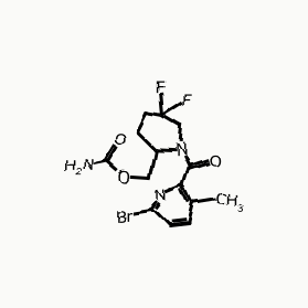 Cc1ccc(Br)nc1C(=O)N1CC(F)(F)CCC1COC(N)=O